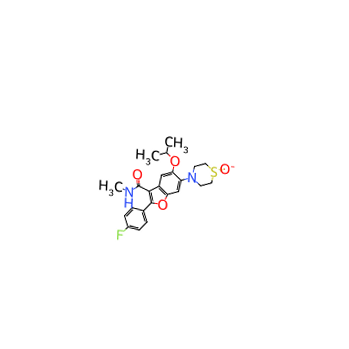 CNC(=O)c1c(-c2ccc(F)cc2)oc2cc(N3CC[S+]([O-])CC3)c(OC(C)C)cc12